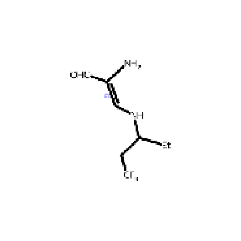 CCC(CC(F)(F)F)N/C=C(\N)C=O